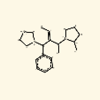 C/C=C(\C(c1ccccc1)N1CCNC1)C(C)N1CCCC1C